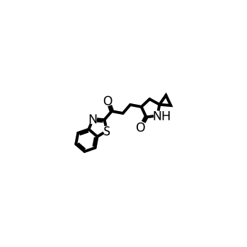 O=C(CCC1CC2(CC2)NC1=O)c1nc2ccccc2s1